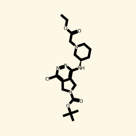 CCOC(=O)CN1CCC[C@@H](Nc2nnc(Cl)c3c2CN(C(=O)OC(C)(C)C)C3)C1